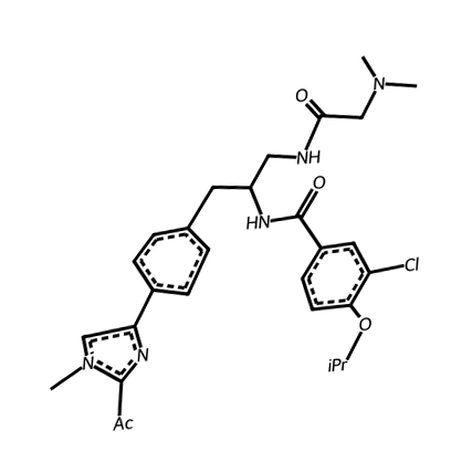 CC(=O)c1nc(-c2ccc(CC(CNC(=O)CN(C)C)NC(=O)c3ccc(OC(C)C)c(Cl)c3)cc2)cn1C